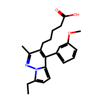 CCc1ccc2c(-c3cccc(OC)c3)c(CCCCC(=O)O)c(C)nn12